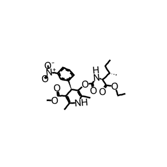 CCOC(=O)[C@@H](NC(=O)OC1=C(C)NC(C)=C(C(=O)OC)[C@H]1c1cccc([N+](=O)[O-])c1)[C@@H](C)CC